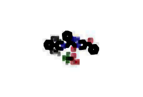 Cc1cccc(C)c1C1CCN(Cc2c(C(=O)N3CCC(C(=O)c4ccccc4)CC3)[nH]c3ccccc23)CC1.O=C(O)C(F)(F)F